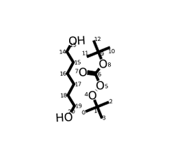 CC(C)(C)OOC(=O)OC(C)(C)C.OCCCCCCO